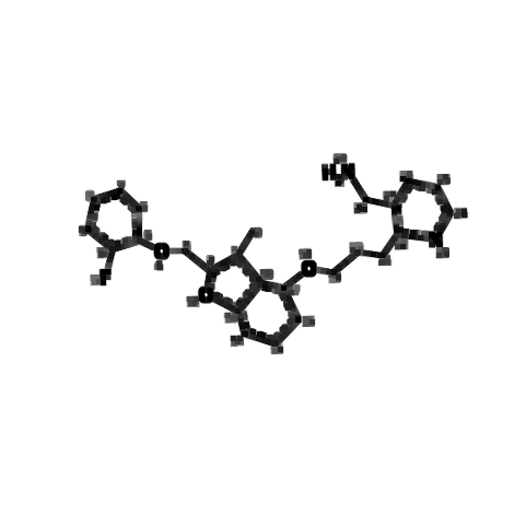 Cc1c(COc2ccccc2F)oc2cccc(OCCCc3ncccc3CN)c12